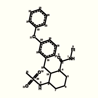 CCNC(=O)N1CCCC(NS(C)(=O)=O)C1Cc1cccc(Oc2ccccc2)c1